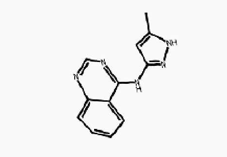 Cc1cc(Nc2ncnc3ccccc23)n[nH]1